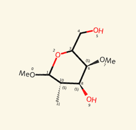 COC1OC(CO)[C@@H](OC)[C@@H](O)[C@@H]1C